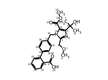 COCc1nc(C(C)(C)O)c(C(=O)OC)n1Cc1ccc(-c2ccccc2C(=O)O)cc1